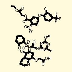 CCOC(=O)COC(=O)c1cc(Oc2ccc(C(F)(F)F)cc2Cl)ccc1[N+](=O)[O-].COc1nc(C)nc(NC(=O)NS(=O)(=O)c2ccccc2Cl)n1.O=C(O)COc1ccc(Cl)c2cccnc12